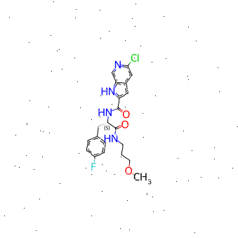 COCCCNC(=O)[C@H](Cc1ccc(F)cc1)NC(=O)c1cc2cc(Cl)ncc2[nH]1